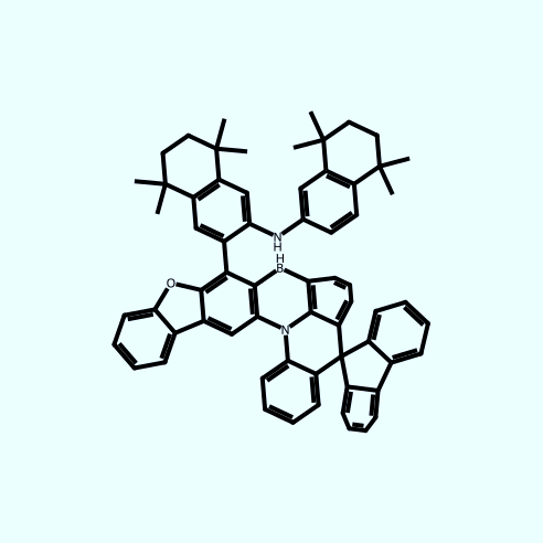 CC1(C)CCC(C)(C)c2cc(Nc3cc4c(cc3-c3c5c(cc6c3oc3ccccc36)N3c6ccccc6C6(c7ccccc7-c7ccccc76)c6cccc(c63)B5)C(C)(C)CCC4(C)C)ccc21